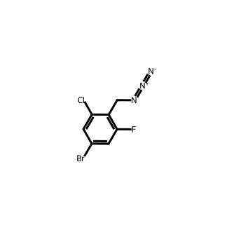 [N-]=[N+]=NCc1c(F)cc(Br)cc1Cl